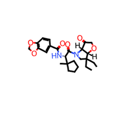 CCC1(CC)CN(C(=O)[C@@H](NC(=O)c2ccc3c(c2)OCO3)C2(C)CCCC2)[C@@H]2C(=O)CO[C@@H]21